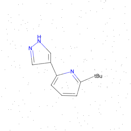 CC(C)(C)c1cccc(-c2cn[nH]c2)n1